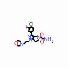 NC(=O)C(=O)N1CCc2c(c(-c3ccc(Cl)c(I)c3)nn2CCCN2CCOCC2)C1